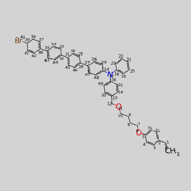 C=Cc1ccc(OCCCCOCc2ccc(N(c3ccccc3)c3ccc(-c4ccc(-c5ccc(C6=CCC(Br)C=C6)cc5)cc4)cc3)cc2)cc1